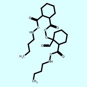 CCCCNOC(=O)C1CCCCC1C(=O)OOC1(C=O)CCCCC1C(=O)ONCCCC